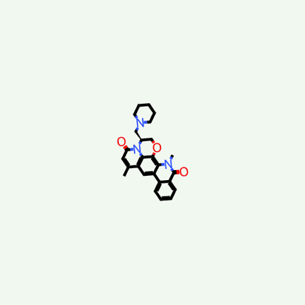 Cc1cc(=O)n2c3c(c4c(cc13)c1ccccc1c(=O)n4C)OC[C@@H]2CN1CCCCC1